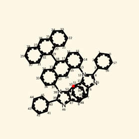 c1ccc(-c2nc3ccccc3n2-c2cccc3c(-c4c5ccccc5cc5ccccc45)c4cccc(-n5c(-c6ccccc6)nc6ccccc65)c4cc23)cc1